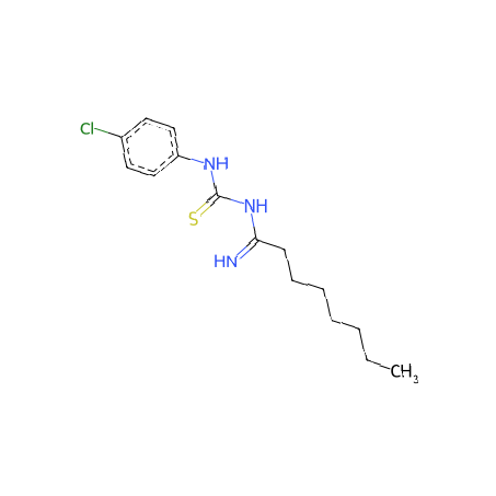 CCCCCCCC(=N)NC(=S)Nc1ccc(Cl)cc1